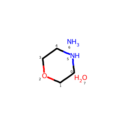 C1COCCN1.N.O